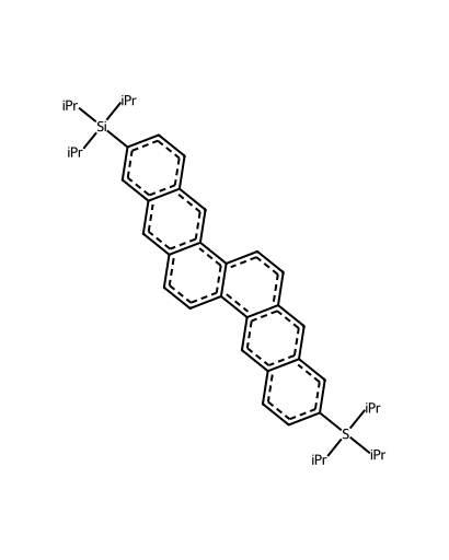 CC(C)[Si](c1ccc2cc3c(ccc4c5cc6ccc(S(C(C)C)(C(C)C)C(C)C)cc6cc5ccc34)cc2c1)(C(C)C)C(C)C